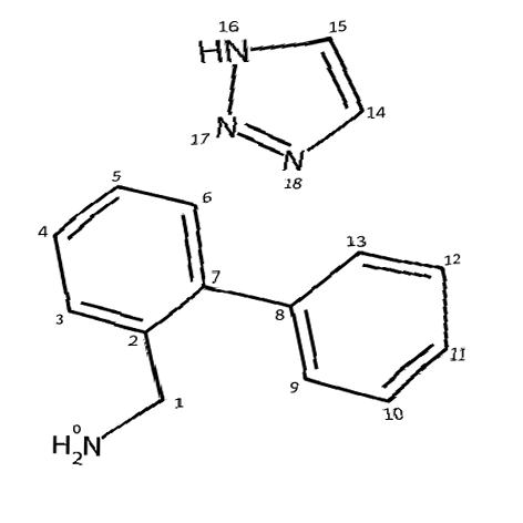 NCc1ccccc1-c1ccccc1.c1c[nH]nn1